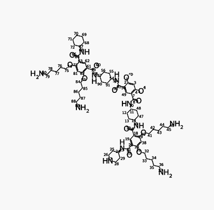 COc1cc(OC)c(C(=O)N[C@H]2CC[C@@H](NC(=O)c3cc(C(=O)NC4CCNCC4)c(OCCCCCN)cc3OCCCCCN)CC2)cc1C(=O)N[C@H]1CC[C@@H](NC(=O)c2cc(C(=O)NC3CCCCC3)c(OCCCCCN)cc2OCCCCCN)CC1